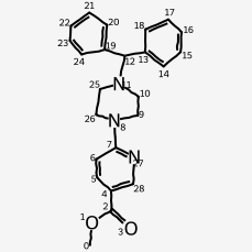 COC(=O)c1ccc(N2CCN(C(c3ccccc3)c3ccccc3)CC2)nc1